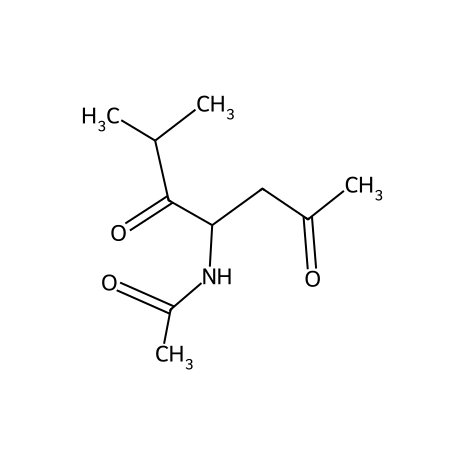 CC(=O)CC(NC(C)=O)C(=O)C(C)C